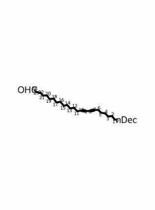 CCCCCCCCCCCCCCCCC#CC#CCCCCCCCCCCCCCC=O